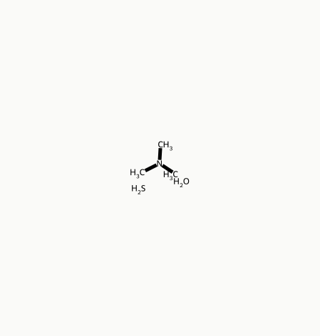 CN(C)C.O.S